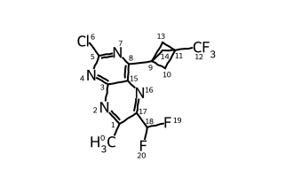 Cc1nc2nc(Cl)nc(C34CC(C(F)(F)F)(C3)C4)c2nc1C(F)F